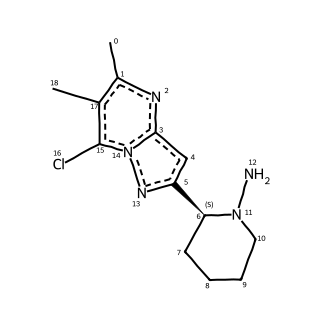 Cc1nc2cc([C@@H]3CCCCN3N)nn2c(Cl)c1C